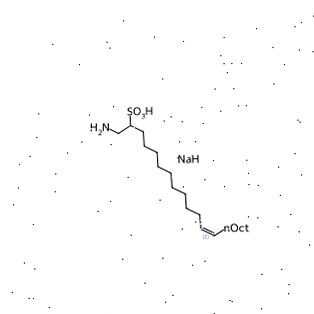 CCCCCCCC/C=C\CCCCCCCCCC(CN)S(=O)(=O)O.[NaH]